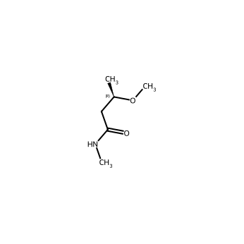 CNC(=O)C[C@@H](C)OC